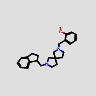 COc1ccccc1CN1CCC2(CCN(CC3CCc4ccccc43)C2)C1